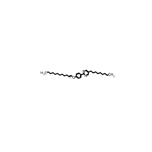 CCCCCCCCCC/C=C/Oc1ccc(-c2ncc(CCCCCCCCC)cn2)cc1